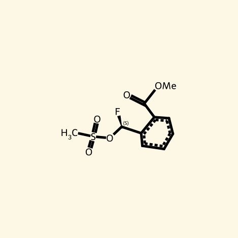 COC(=O)c1ccccc1[C@H](F)OS(C)(=O)=O